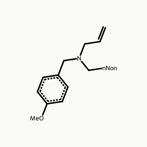 C=CCN(CCCCCCCCCC)Cc1ccc(OC)cc1